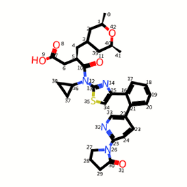 C[C@@H]1CC(C[C@H](CC(=O)O)C(=O)N(c2nc(-c3ccccc3-c3ccc(N4CCCC4=O)nc3)cs2)C2CC2)C[C@H](C)O1